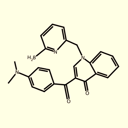 Bc1cccc(Cn2cc(C(=O)c3ccc(N(C)C)cc3)c(=O)c3ccccc32)n1